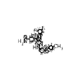 Cc1ccc(S(=O)(=O)N2CCC[C@@H](Nc3ncc4nc(Nc5c(F)cc(F)cc5F)n([C@H]5CC[C@@H](C(N)=O)CC5)c4n3)C2)cc1